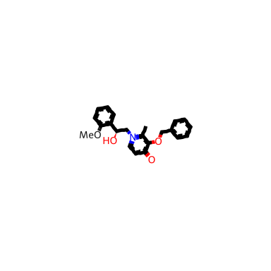 COc1ccccc1[C@@H](O)Cn1ccc(=O)c(OCc2ccccc2)c1C